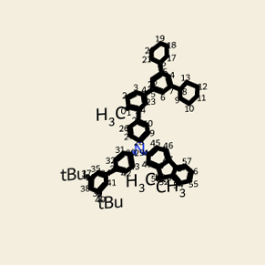 Cc1ccc(-c2cc(C3CCCCC3)cc(C3CCCCC3)c2)cc1-c1ccc(N(c2ccc(-c3cc(C(C)(C)C)cc(C(C)(C)C)c3)cc2)c2ccc3c(c2)C(C)(C)c2ccccc2-3)cc1